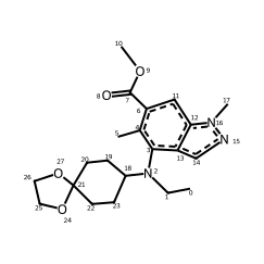 CCN(c1c(C)c(C(=O)OC)cc2c1cnn2C)C1CCC2(CC1)OCCO2